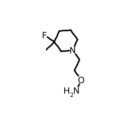 CC1(F)CCCN(CCON)C1